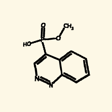 COP(=O)(O)c1cnnc2ccccc12